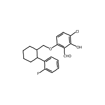 O=Cc1c(OCC2CCCCC2c2ccccc2F)ccc(Cl)c1O